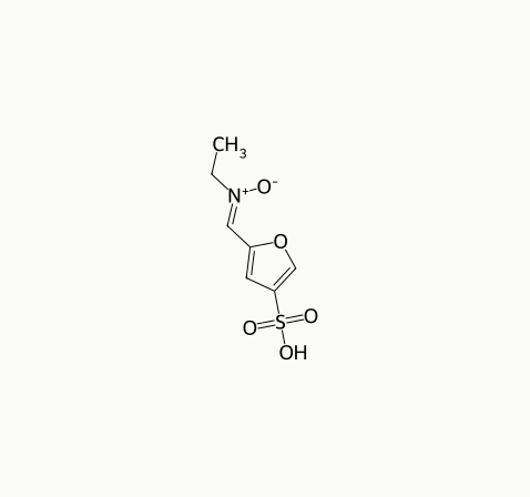 CC[N+]([O-])=Cc1cc(S(=O)(=O)O)co1